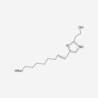 CCCCCCCCCCCCCCCC=Cc1c[nH]c(CCO)n1